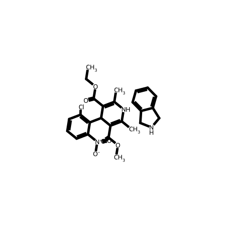 CCOC(=O)C1=C(C)NC(C)=C(C(=O)OC)C1c1c(Cl)cccc1[N+](=O)[O-].c1ccc2c(c1)CNC2